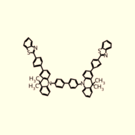 CC1(C)c2ccccc2N(c2ccc(-c3ccc(N4c5ccccc5C(C)(C)c5cc(-c6ccc(-c7nc8ccccc8s7)cc6)ccc54)cc3)cc2)c2ccc(-c3ccc(-c4nc5ccccc5s4)cc3)cc21